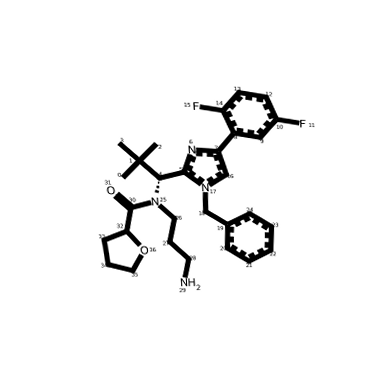 CC(C)(C)[C@H](c1nc(-c2cc(F)ccc2F)cn1Cc1ccccc1)N(CCCN)C(=O)C1CCCO1